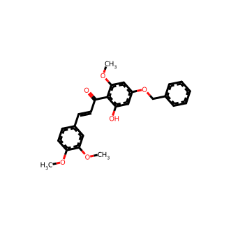 COc1ccc(C=CC(=O)c2c(O)cc(OCc3ccccc3)cc2OC)cc1OC